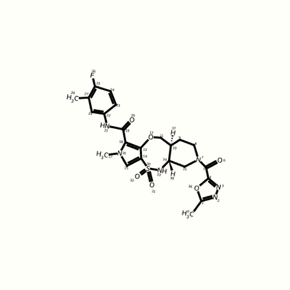 Cc1nnc(C(=O)N2CC[C@@H]3COc4c(cn(C)c4C(=O)Nc4ccc(F)c(C)c4)S(=O)(=O)N[C@H]3C2)o1